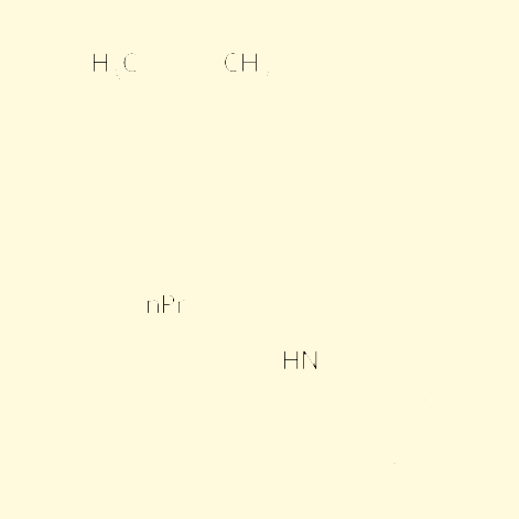 CCC/C(=C\C=C(C)C)CNC1CC1